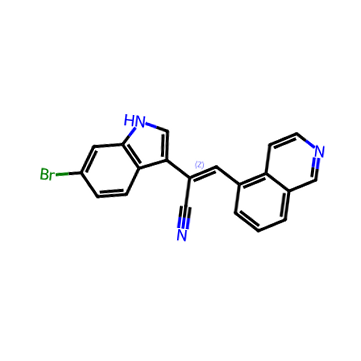 N#C/C(=C\c1cccc2cnccc12)c1c[nH]c2cc(Br)ccc12